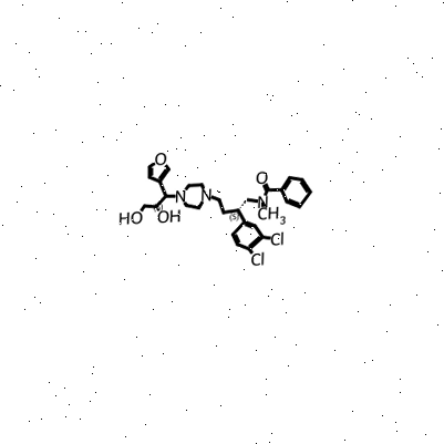 CN(C[C@@H](CCN1CCN(C(c2ccoc2)[C@H](O)CO)CC1)c1ccc(Cl)c(Cl)c1)C(=O)c1ccccc1